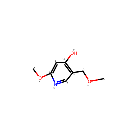 COCc1cnc(OC)cc1O